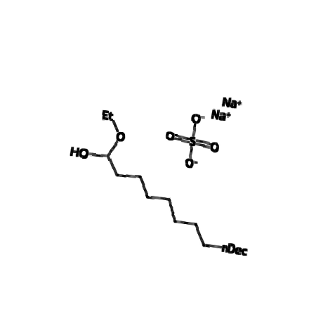 CCCCCCCCCCCCCCCCCC(O)OCC.O=S(=O)([O-])[O-].[Na+].[Na+]